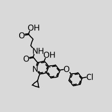 O=C(O)CCNC(=O)c1nc(C2CC2)c2ccc(Oc3cccc(Cl)c3)cc2c1O